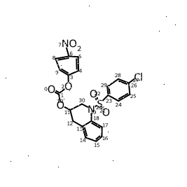 O=C(Oc1ccc([N+](=O)[O-])cc1)OC1Cc2ccccc2N(S(=O)(=O)c2ccc(Cl)cc2)C1